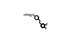 CCCCCCCC1CC=C(CCc2ccc(F)c(F)c2)CC1